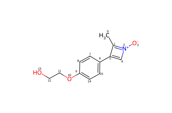 CC1=[N+]([O-])C=C1c1ccc(OCCO)cc1